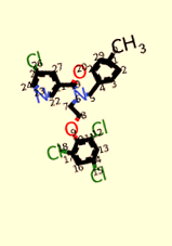 Cc1ccc(CN(CCOc2c(Cl)cc(Cl)cc2Cl)C(=O)c2cncc(Cl)c2)cc1